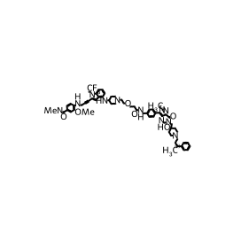 CNC(=O)c1ccc(NCC#Cc2cc3c(NC4CCN(CCOCCC(=O)NCc5ccc(-c6c7ncn(CC8(O)CCN(CC[C@@H](C)c9ccccc9)CC8)c(=O)c7nn6C)cc5)CC4)cccc3n2CC(F)(F)F)c(OC)c1